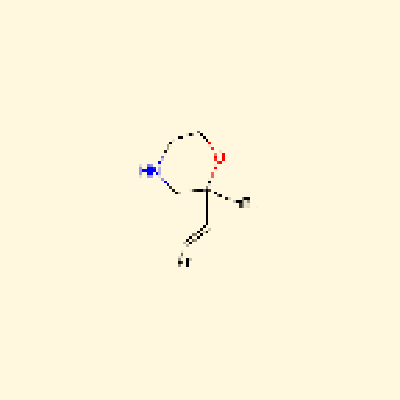 CCC=CC1(CCCC)CNCCO1